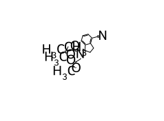 COC(=O)CN(C(=O)OC(C)(C)C)C1CCc2c(C#N)cccc21